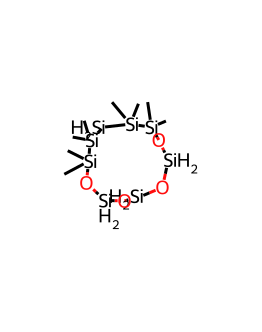 C[Si]1(C)O[SiH2]O[SiH2]O[SiH2]O[Si](C)(C)[Si](C)(C)[SiH2][Si]1(C)C